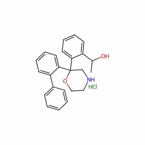 CC(O)c1ccccc1C1(c2ccccc2-c2ccccc2)CNCCO1.Cl